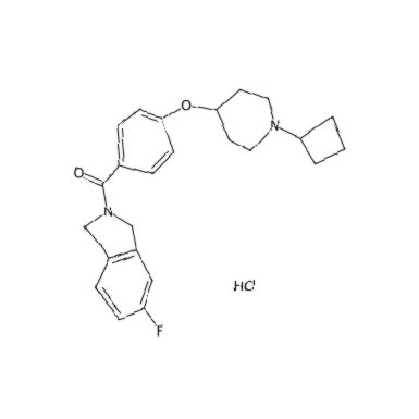 Cl.O=C(c1ccc(OC2CCN(C3CCC3)CC2)cc1)N1Cc2ccc(F)cc2C1